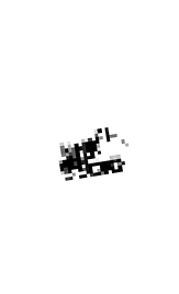 Cc1cc(Nc2nc(O[C@H]3CC[C@H](N4CCCCC4)CC3)c3sccc3n2)sn1